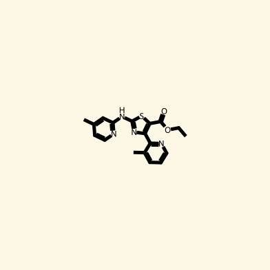 CCOC(=O)c1sc(Nc2cc(C)ccn2)nc1-c1ncccc1C